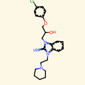 N=c1n(CCN2CCCCC2)c2ccccc2n1CC(O)COc1ccc(Cl)cc1